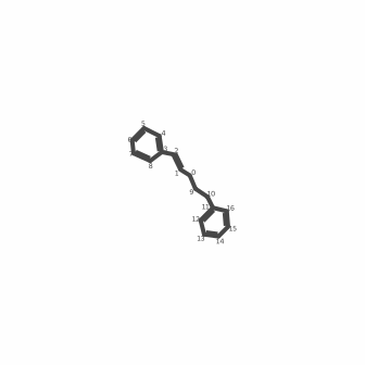 [CH](C=Cc1ccccc1)CCc1ccccc1